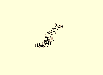 C/C=C1/CC[C@H]2[C@@H]3CC[C@@H]4C[C@H](OC(=O)CCC(=O)O)CC[C@]4(C)[C@H]3CC[C@]12C